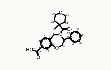 CC1(C(=O)N2Cc3ccc(C(=O)O)cc3OCC2c2ccccc2)CCOCC1